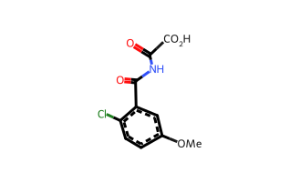 COc1ccc(Cl)c(C(=O)NC(=O)C(=O)O)c1